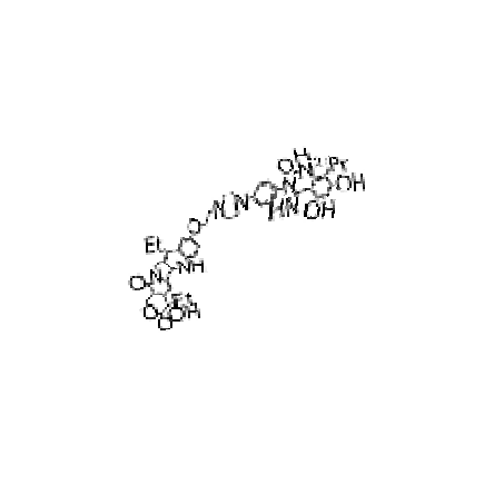 CCC1=C2Cn3c(cc4c(c3=O)COC(=O)C4(O)CC)C2Nc2ccc(OCCN3CCN(c4ccc(N(C(=N)c5cc(C(C)C)c(O)cc5O)C(N)=O)cc4)CC3)cc21